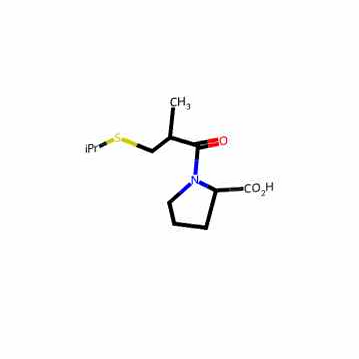 CC(C)SCC(C)C(=O)N1CCCC1C(=O)O